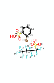 O=S(=O)(O)C(F)(F)C(F)(F)C(F)(F)C(F)(F)F.O=S(=O)(O)c1ccccc1Br